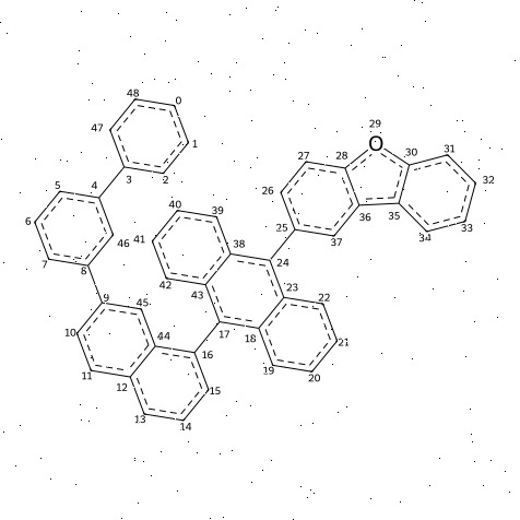 c1ccc(-c2cccc(-c3ccc4cccc(-c5c6ccccc6c(-c6ccc7oc8ccccc8c7c6)c6ccccc56)c4c3)c2)cc1